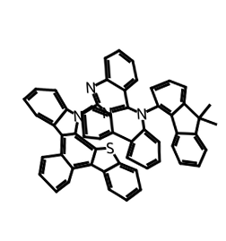 CC1(C)c2ccccc2-c2c(N(c3ccccc3-c3ccccc3)c3nc(-n4c5ccccc5c5c6ccccc6c6c7ccccc7sc6c54)nc4ccccc34)cccc21